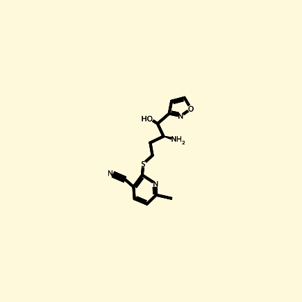 Cc1ccc(C#N)c(SCC[C@H](N)C(O)c2ccon2)n1